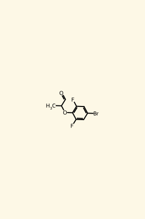 CC(C=O)Oc1c(F)cc(Br)cc1F